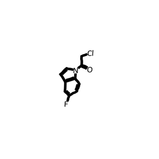 O=C(CCl)n1ccc2cc(F)ccc21